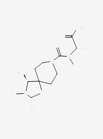 COC(=O)[C@H](C(C)C)N(C)C(=O)N1CCC2(CC1)O[C@H](C)N(C(C)=O)[C@H]2C